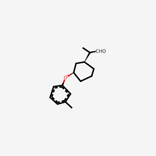 Cc1cccc(O[C@@H]2CCC[C@H](C(C)C=O)C2)c1